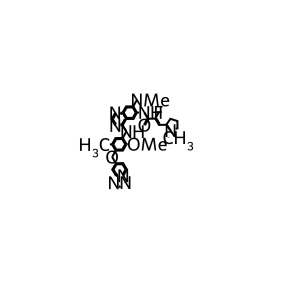 CNc1cc2ncnc(Nc3cc(C)c(Oc4ccn5ncnc5c4)cc3OC)c2cc1NC(=O)C(F)=CC1CCCN1C